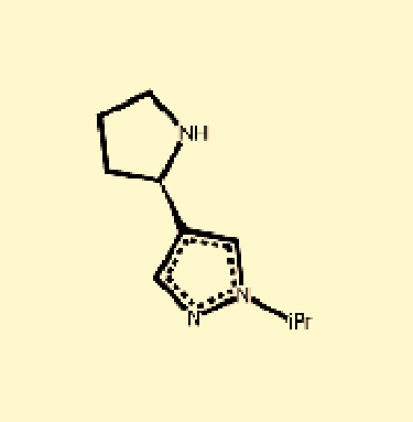 CC(C)n1cc([C@H]2CCCN2)cn1